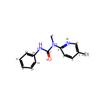 CCc1ccc(N(C)C(=O)Nc2ccccc2)nc1